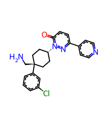 NC[C@]1(c2cccc(Cl)c2)CC[C@@H](n2nc(-c3ccncc3)ccc2=O)CC1